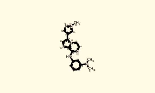 CN(C)c1cccc(Nc2nccn3c(-c4cnn(C)c4)cnc23)c1